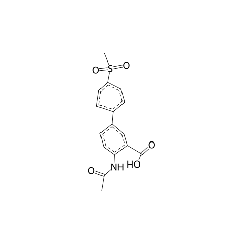 CC(=O)Nc1ccc(-c2ccc(S(C)(=O)=O)cc2)cc1C(=O)O